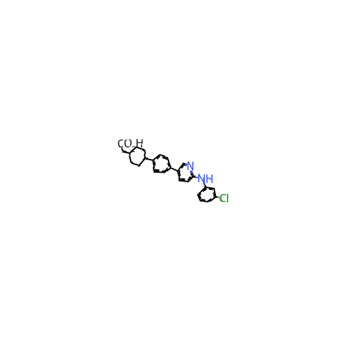 O=C(O)CC1CCC(c2ccc(-c3ccc(Nc4cccc(Cl)c4)nc3)cc2)CC1